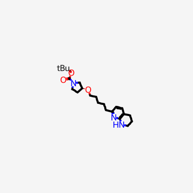 CC(C)(C)OC(=O)N1CC[C@@H](OCCCCCc2ccc3c(n2)NCCC3)C1